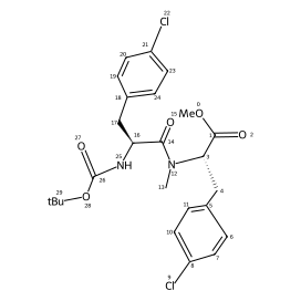 COC(=O)[C@H](Cc1ccc(Cl)cc1)N(C)C(=O)[C@H](Cc1ccc(Cl)cc1)NC(=O)OC(C)(C)C